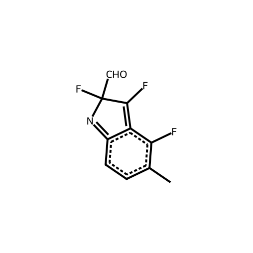 Cc1ccc2c(c1F)=C(F)C(F)(C=O)N=2